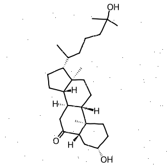 CC(CCCC(C)(C)O)[C@H]1CC[C@H]2[C@@H]3CC(=O)[C@H]4C[C@@H](O)CC[C@]4(C)[C@H]3CC[C@]12C